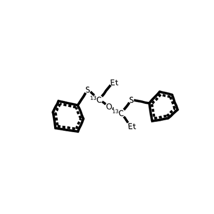 CC[13CH](O[13CH](CC)Sc1ccccc1)Sc1ccccc1